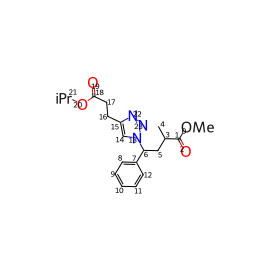 COC(=O)C(C)CC(c1ccccc1)n1cc(CCC(=O)OC(C)C)nn1